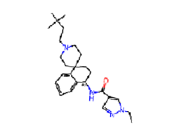 CCn1cc(C(=O)N[C@@H]2CCC3(CCN(CCC(C)(C)C)CC3)c3ccccc32)cn1